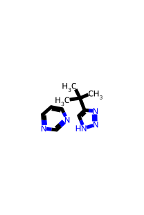 CC(C)(C)c1c[nH]nn1.c1cncnc1